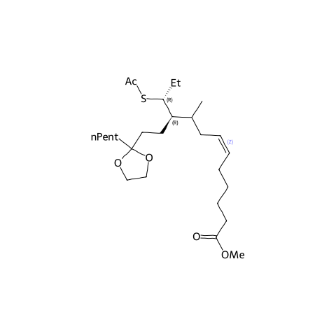 CCCCCC1(CC[C@H](C(C)C/C=C\CCCCC(=O)OC)[C@@H](CC)SC(C)=O)OCCO1